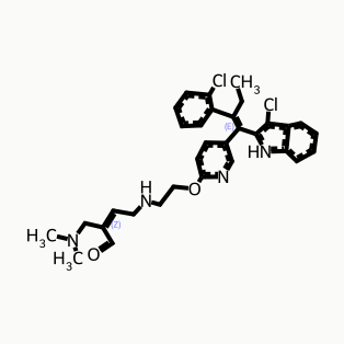 CC/C(=C(/c1ccc(OCCNC/C=C(\C=O)CN(C)C)nc1)c1[nH]c2ccccc2c1Cl)c1ccccc1Cl